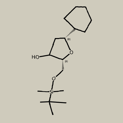 CC(C)(C)[Si](C)(C)OC[C@H]1O[C@@H](C2CCCCC2)CC1O